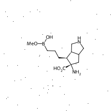 COB(O)CCC[C@H]1C2CNCC2C[C@@]1(N)C(=O)O